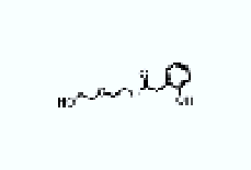 O=C(Cc1ccccc1O)OCCOCCO